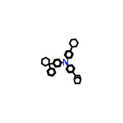 c1ccc(C2(c3ccc(N(c4ccc(C5CCCCC5)cc4)c4ccc(C5CC6CCC5C6)cc4)cc3)CCCCC2)cc1